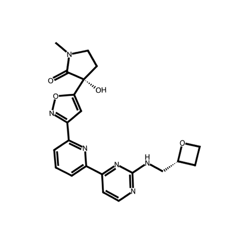 CN1CC[C@@](O)(c2cc(-c3cccc(-c4ccnc(NC[C@H]5CCO5)n4)n3)no2)C1=O